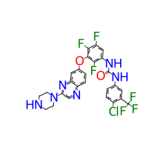 O=C(Nc1ccc(Cl)c(C(F)(F)F)c1)Nc1cc(F)c(F)c(Oc2ccc3ncc(N4CCNCC4)nc3c2)c1F